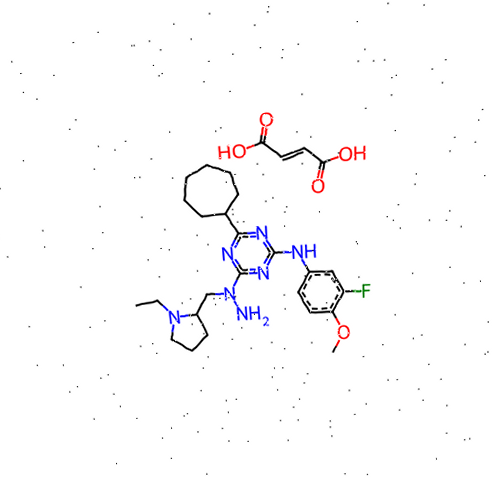 CCN1CCCC1CN(N)c1nc(Nc2ccc(OC)c(F)c2)nc(C2CCCCCC2)n1.O=C(O)C=CC(=O)O